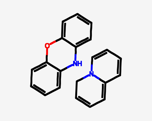 C1=CCN2C=CC=CC2=C1.c1ccc2c(c1)Nc1ccccc1O2